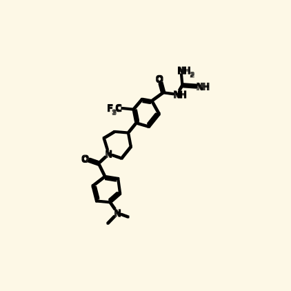 CN(C)c1ccc(C(=O)N2CCC(c3ccc(C(=O)NC(=N)N)cc3C(F)(F)F)CC2)cc1